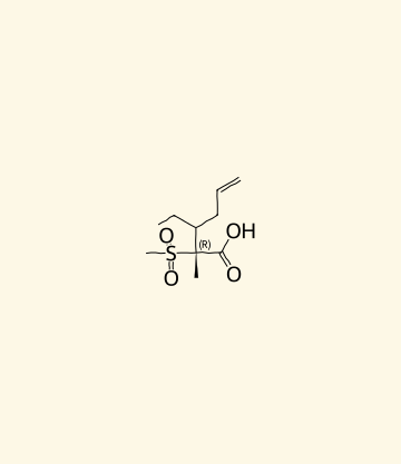 C=CCC(CC)[C@](C)(C(=O)O)S(C)(=O)=O